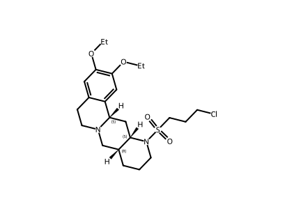 CCOc1cc2c(cc1OCC)[C@@H]1C[C@H]3[C@H](CCCN3S(=O)(=O)CCCCl)CN1CC2